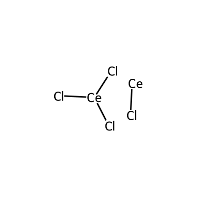 [Cl][Ce].[Cl][Ce]([Cl])[Cl]